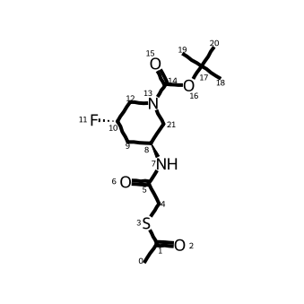 CC(=O)SCC(=O)N[C@H]1C[C@H](F)CN(C(=O)OC(C)(C)C)C1